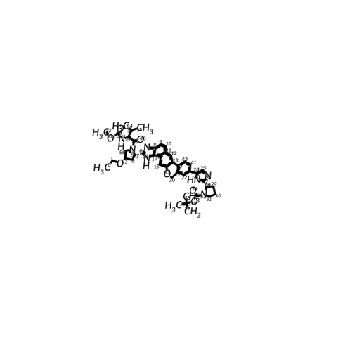 CCOC1C[C@@H](c2nc3ccc4cc5c(cc4c3[nH]2)OCc2cc(-c3cnc([C@@H]4CCCN4C(=O)OC(C)(C)C)[nH]3)ccc2-5)N(C(=O)[C@@H](NC(=O)OC)C(C)C)C1